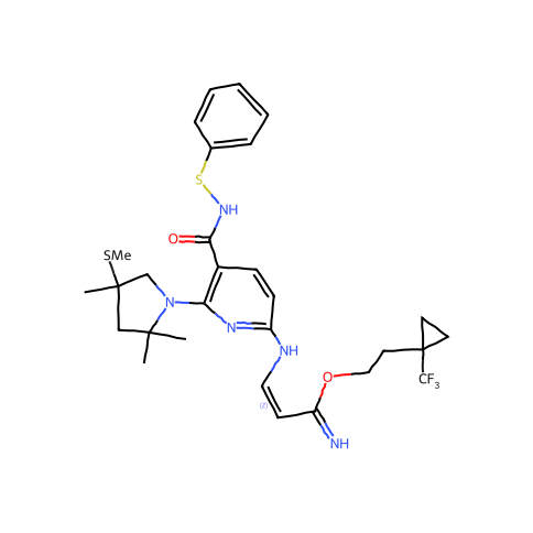 CSC1(C)CN(c2nc(N/C=C\C(=N)OCCC3(C(F)(F)F)CC3)ccc2C(=O)NSc2ccccc2)C(C)(C)C1